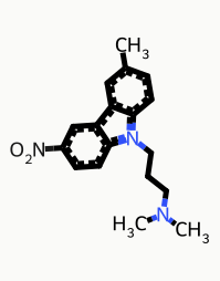 Cc1ccc2c(c1)c1cc([N+](=O)[O-])ccc1n2CCCN(C)C